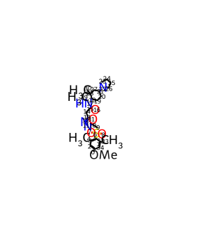 COc1cc(C)c(S(=O)(=O)Cc2nnc(CC(=O)NC3CCC(N4CCCC4)CC3(C)C)o2)c(C)c1